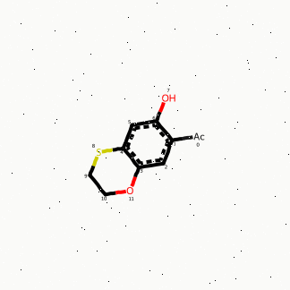 CC(=O)c1cc2c(cc1O)SCCO2